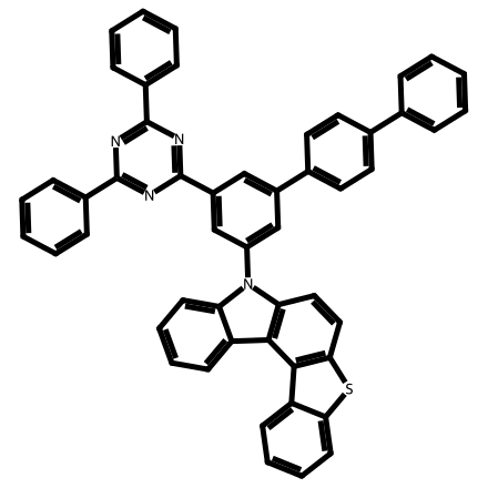 c1ccc(-c2ccc(-c3cc(-c4nc(-c5ccccc5)nc(-c5ccccc5)n4)cc(-n4c5ccccc5c5c6c(ccc54)sc4ccccc46)c3)cc2)cc1